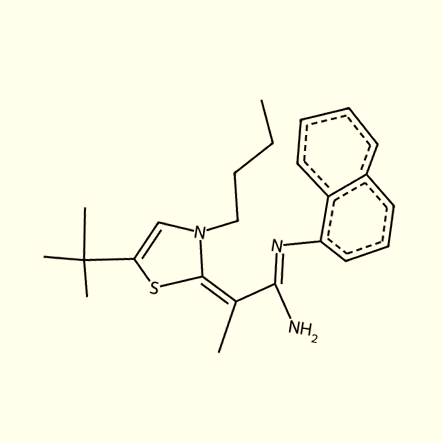 CCCCN1C=C(C(C)(C)C)SC1=C(C)C(N)=Nc1cccc2ccccc12